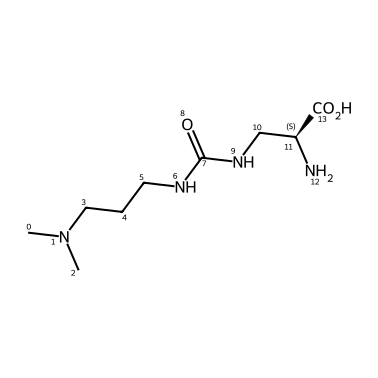 CN(C)CCCNC(=O)NC[C@H](N)C(=O)O